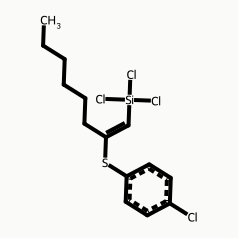 CCCCCCC(=C[Si](Cl)(Cl)Cl)Sc1ccc(Cl)cc1